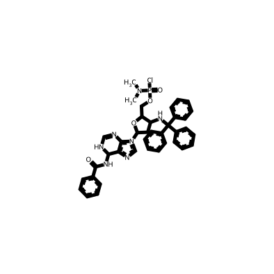 CN(C)P(=O)(Cl)OCC1OC(n2cnc3c2N=CNC3NC(=O)c2ccccc2)CC1NC(c1ccccc1)(c1ccccc1)c1ccccc1